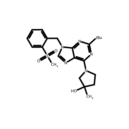 CC1(O)CCN(c2nc(C(C)(C)C)nc3c2ncn3Cc2ccccc2S(C)(=O)=O)C1